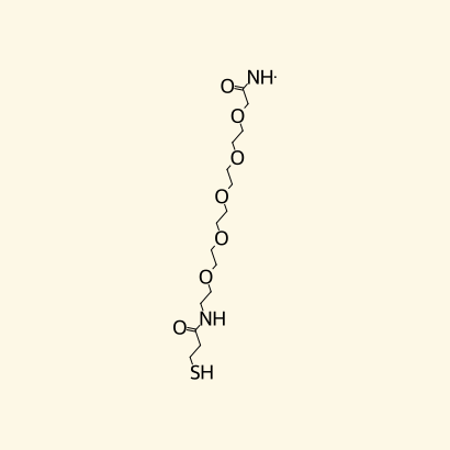 [NH]C(=O)COCCOCCOCCOCCOCCNC(=O)CCS